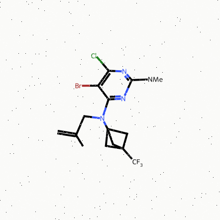 C=C(C)CN(c1nc(NC)nc(Cl)c1Br)C12CC(C(F)(F)F)(C1)C2